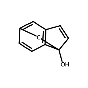 OC12C=Cc3cc(ccc31)C2